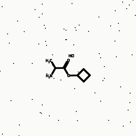 CC(N)C(=O)OC1CCC1.Cl